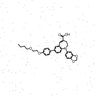 CCCCOCCOc1ccc(-c2ccc3c(c2)C=C(C(=O)O)CCN3c2ccc3c(c2)OCO3)cc1